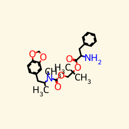 CC(Cc1ccc2c(c1)OCO2)N(C)C(=O)OCC(C)(C)OC(=O)C(N)Cc1ccccc1